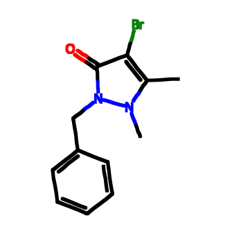 Cc1c(Br)c(=O)n(Cc2ccccc2)n1C